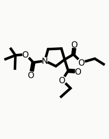 CCOC(=O)C1(C(=O)OCC)CCN(C(=O)OC(C)(C)C)C1